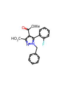 COC(=O)c1c(C(=O)O)nn(Cc2ccccc2)c1-c1ccccc1F